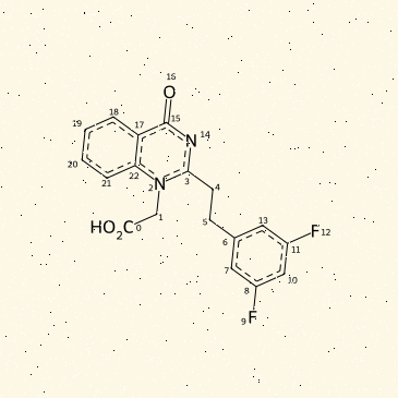 O=C(O)Cn1c(CCc2cc(F)cc(F)c2)nc(=O)c2ccccc21